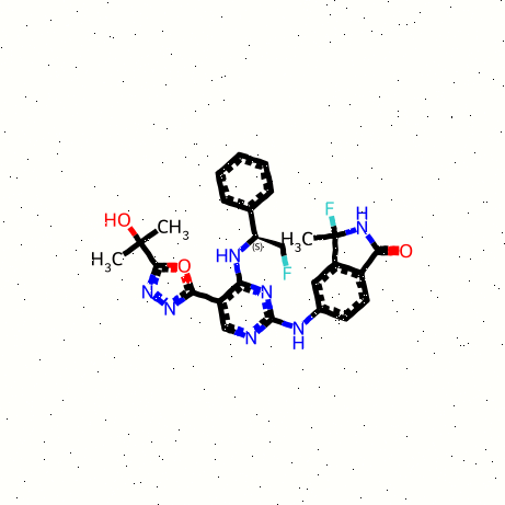 CC(C)(O)c1nnc(-c2cnc(Nc3ccc4c(c3)C(C)(F)NC4=O)nc2N[C@H](CF)c2ccccc2)o1